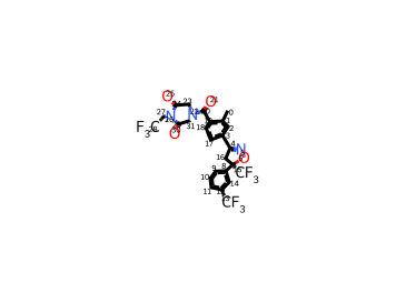 Cc1cc(C2=NOC(c3cccc(C(F)(F)F)c3)(C(F)(F)F)C2)ccc1C(=O)N1CC(=O)N(CC(F)(F)F)C(=O)C1